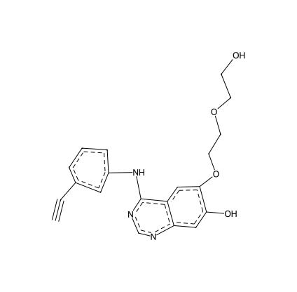 C#Cc1cccc(Nc2ncnc3cc(O)c(OCCOCCO)cc23)c1